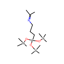 CC(C)=NCCC[Si](O[Si](C)(C)C)(O[Si](C)(C)C)O[Si](C)(C)C